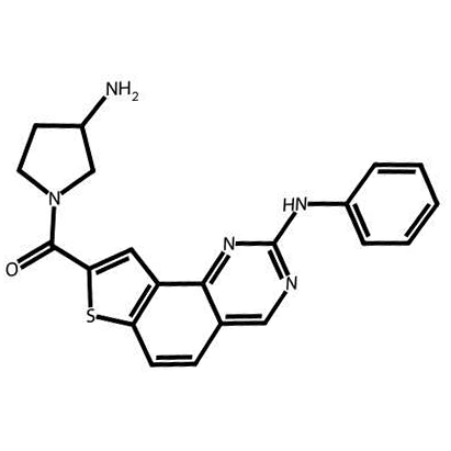 NC1CCN(C(=O)c2cc3c(ccc4cnc(Nc5ccccc5)nc43)s2)C1